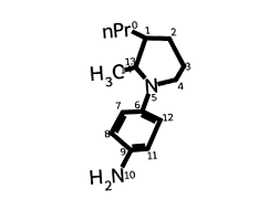 CCCC1CCCN(c2ccc(N)cc2)C1C